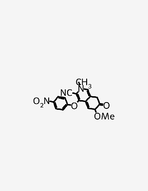 COC1C=C2C(=CN(C)C(C#N)=C2Oc2ccc([N+](=O)[O-])cc2)CC1=O